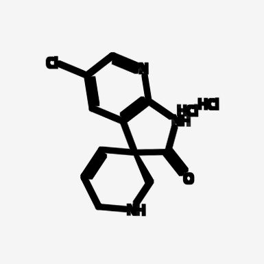 Cl.Cl.O=C1Nc2ncc(Cl)cc2[C@@]12C=CCNC2